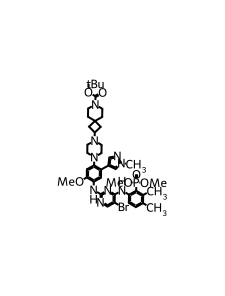 COc1cc(N2CCN(C3CC4(CCN(C(=O)OC(C)(C)C)CC4)C3)CC2)c(-c2cnn(C)c2)cc1Nc1ncc(Br)c(Nc2ccc(C)c(C)c2P(=O)(OC)OC)n1